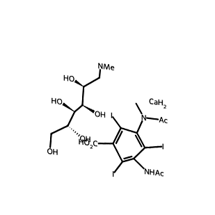 CC(=O)Nc1c(I)c(C(=O)O)c(I)c(N(C)C(C)=O)c1I.CNC[C@H](O)[C@@H](O)[C@H](O)[C@H](O)CO.[CaH2]